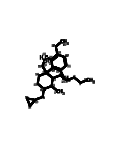 CCCCCC1C(C)N(CC2CC2)CCC1(CC)c1c(C)ccc(CC)c1C